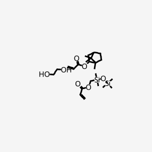 C=CC(=O)OC1CC2CCC1(C)C2(C)C.C=CC(=O)OC[Si](C)(C)O[Si](C)(C)C.OCCO